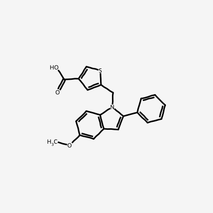 COc1ccc2c(c1)cc(-c1ccccc1)n2Cc1cc(C(=O)O)cs1